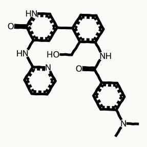 CN(C)c1ccc(C(=O)Nc2cccc(-c3c[nH]c(=O)c(Nc4ccccn4)c3)c2CO)cc1